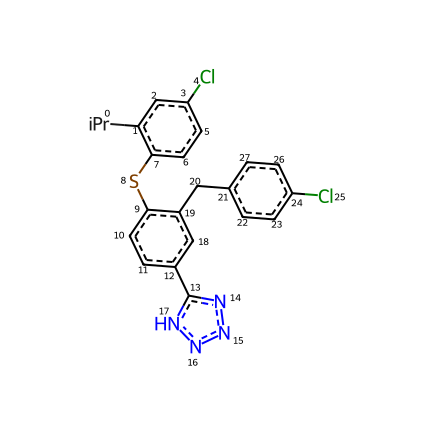 CC(C)c1cc(Cl)ccc1Sc1ccc(-c2nnn[nH]2)cc1Cc1ccc(Cl)cc1